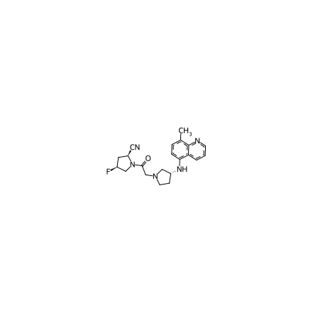 Cc1ccc(N[C@@H]2CCN(CC(=O)N3C[C@@H](F)C[C@H]3C#N)C2)c2cccnc12